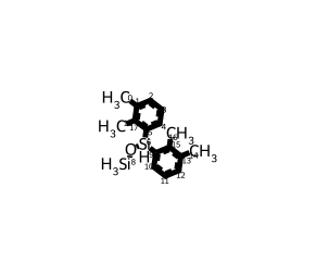 Cc1cccc([SiH](O[SiH3])c2cccc(C)c2C)c1C